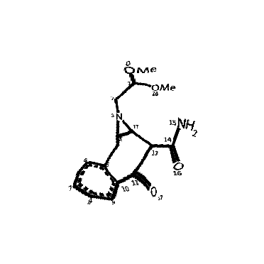 COC(CN1C2c3ccccc3C(=O)C(C(N)=O)C21)OC